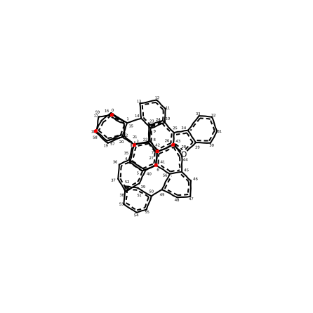 C1=CC(c2ccccc2-c2ccccc2-c2ccccc2N(c2ccc3c(c2)oc2ccccc23)c2ccccc2-c2cccc3cccc(-c4ccccc4)c23)=CCC1